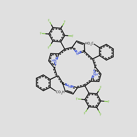 O=C(O)c1ccccc1-c1c2nc(c(-c3c(F)c(F)c(F)c(F)c3F)c3ccc([nH]3)c(-c3ccccc3C(=O)O)c3nc(c(-c4c(F)c(F)c(F)c(F)c4F)c4ccc1[nH]4)C=C3)C=C2